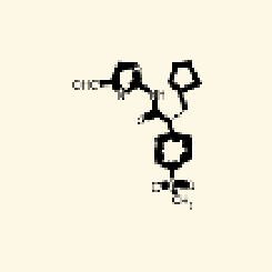 CS(=O)(=O)c1ccc([C@@H](CC2CCCC2)C(=O)Nc2nc(C=O)cs2)cc1